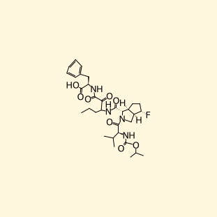 CCCC(NC(=O)[C@@H]1[C@H]2CC[C@H](F)[C@H]2CN1C(=O)[C@@H](NC(=O)OC(C)C)C(C)C)C(=O)C(=O)N[C@H](Cc1ccccc1)C(=O)O